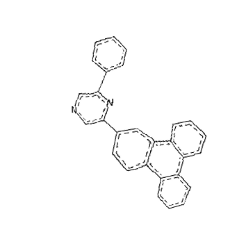 c1ccc(-c2cncc(-c3ccc4c5ccccc5c5ccccc5c4c3)n2)cc1